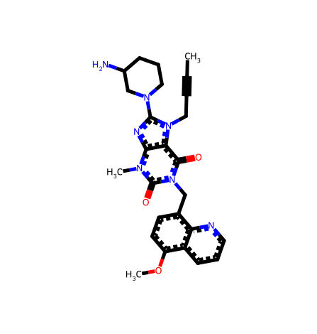 CC#CCn1c(N2CCCC(N)C2)nc2c1c(=O)n(Cc1ccc(OC)c3cccnc13)c(=O)n2C